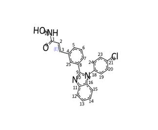 O=C(/C=C/c1cccc(-c2nc3ccccc3n2-c2ccc(Cl)cc2)c1)NO